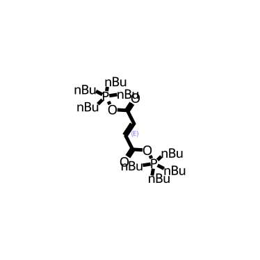 CCCCP(CCCC)(CCCC)(CCCC)OC(=O)/C=C/C(=O)OP(CCCC)(CCCC)(CCCC)CCCC